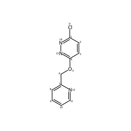 Clc1ccc(OCc2ccccn2)nn1